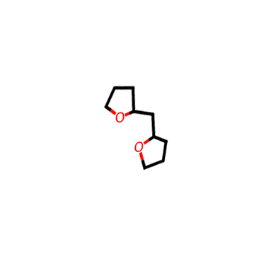 C1COC(CC2CCCO2)C1